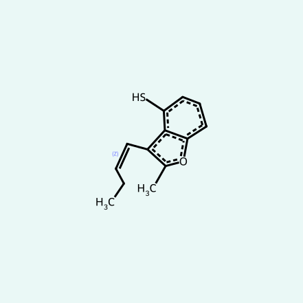 CC/C=C\c1c(C)oc2cccc(S)c12